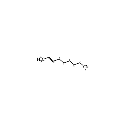 C/C=C/CCCCCC#N